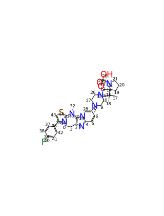 CCc1nc2ccc(N3CCN(C(=O)C4(C(C)(C)C)CCCN4C(=O)O)CC3)cn2c1N(C)c1nc(-c2ccc(F)cc2)cs1